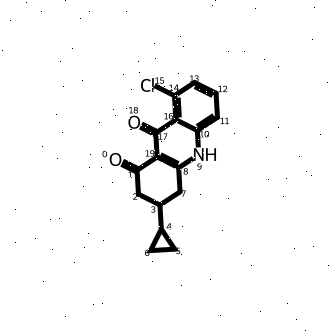 O=C1CC(C2CC2)Cc2[nH]c3cccc(Cl)c3c(=O)c21